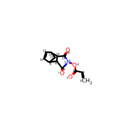 C=CC(=O)ON1C(=O)C2C3C=CC(C3)C2C1=O